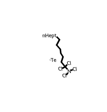 CCCCCCCCCCCCCC(Cl)(Cl)N(Cl)Cl.[Te]